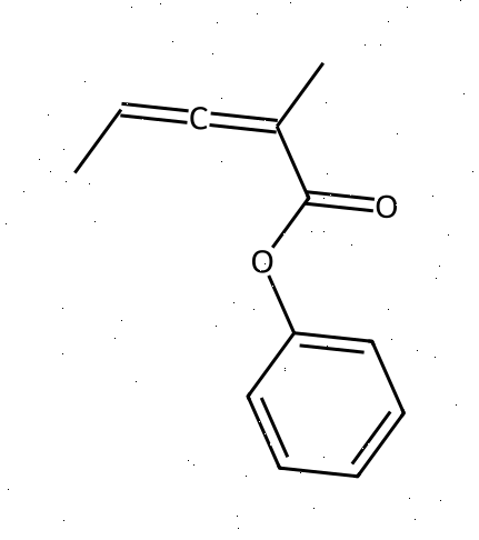 CC=C=C(C)C(=O)Oc1ccccc1